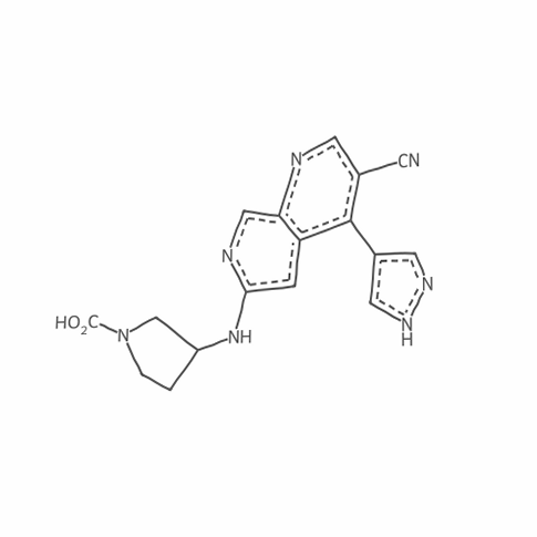 N#Cc1cnc2cnc(NC3CCN(C(=O)O)C3)cc2c1-c1cn[nH]c1